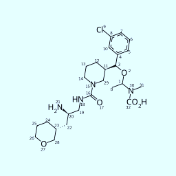 CC(OC(c1cccc(Cl)c1)[C@@H]1CCCN(C(=O)NC[C@H](N)C[C@H]2CCCOC2)C1)N(C)C(=O)O